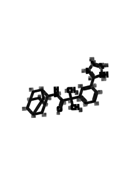 CC(C)(C(=O)NC1C2CC3CC(C2)CC1C3)c1cccc(-c2nnn[nH]2)c1